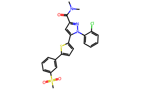 CN(C)C(=O)c1cc(-c2ccc(-c3cccc(S(C)(=O)=O)c3)s2)n(-c2ccccc2Cl)n1